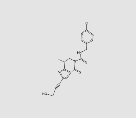 CC1CN(C(=S)NCc2ccc(Cl)cc2)C(=S)c2cc(C#CCO)sc21